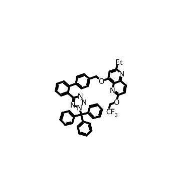 CCc1cc(OCc2ccc(-c3ccccc3-c3nnn(C(c4ccccc4)(c4ccccc4)c4ccccc4)n3)cc2)c2nc(OCC(F)(F)F)ccc2n1